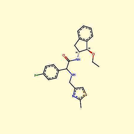 CCO[C@@H]1c2ccccc2C[C@H]1NC(=O)C(NCc1csc(C)n1)c1ccc(F)cc1